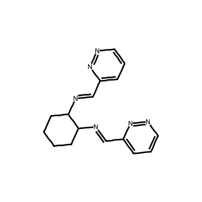 C(=NC1CCCCC1N=Cc1cccnn1)c1cccnn1